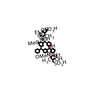 CCn1c(O)c(CS(=O)(=O)O)c(C)c(/N=N/c2c(OC)cc(C(c3ccccc3)c3cc(OC)c(/N=N/c4c(C)c(CS(=O)(=O)O)c(O)n(CC)c4=O)c(C(O)c4ccccc4)c3)cc2C(O)c2ccccc2)c1=O